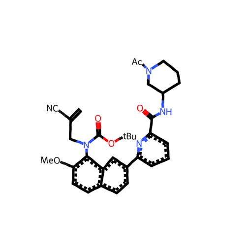 C=C(C#N)CN(C(=O)OC(C)(C)C)c1c(OC)ccc2ccc(-c3cccc(C(=O)NC4CCCN(C(C)=O)C4)n3)cc12